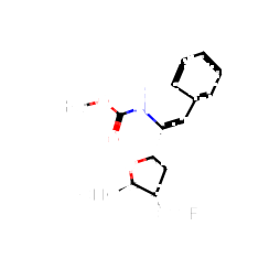 CCOC(=O)[C@H]1C[C@@H](C(=Cc2ccccc2)NC(=O)OC(C)(C)C)O[C@@H]1C=O